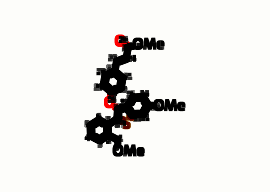 COCc1ccccc1-c1sc2cc(OC)ccc2c1Oc1ccc(C=CC(=O)OC)cc1